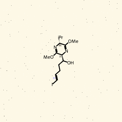 COC1=N[C@H](C(C)C)C(OC)=N[C@H]1C(O)CC/C=C/I